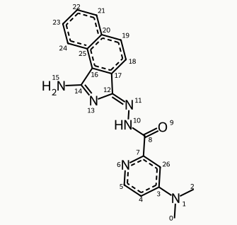 CN(C)c1ccnc(C(=O)N/N=C2\N=C(N)c3c2ccc2ccccc32)c1